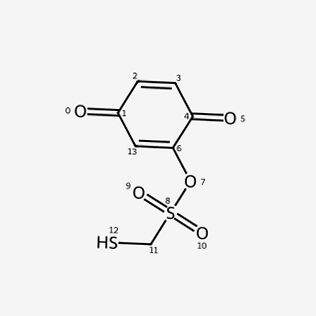 O=C1C=CC(=O)C(OS(=O)(=O)CS)=C1